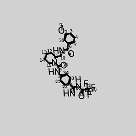 COc1cccc(C(=O)NCC2CCCCN2C(=O)Nc2ccc(C(=N)NC(=O)C(F)(F)F)cc2)c1